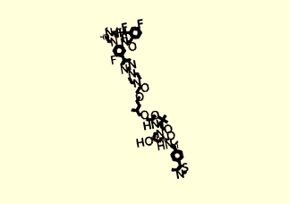 Cc1ncsc1-c1ccc([C@H](C)NC(=O)[C@@H]2C[C@@H](O)CN2C(=O)[C@@H](NC(=O)COCC(C)CCOCC(=O)N2CCN(c3ncc(-c4cc(NC(=O)c5ccc(F)cc5C(F)(F)F)c(N5C[C@@H](C)N(C)[C@@H](C)C5)cc4F)cn3)CC2)C(C)(C)C)cc1